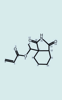 C=CC(=O)OC(C)C12CCCCC1C(=O)NC2=O